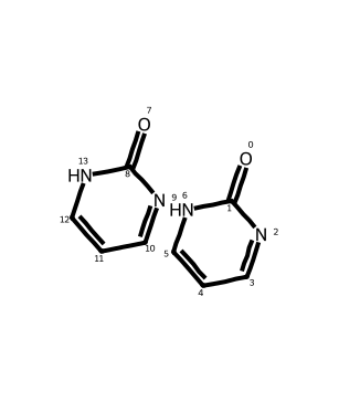 O=c1nccc[nH]1.O=c1nccc[nH]1